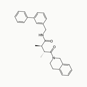 C[C@@H](C(=O)NCc1cccc(-c2ccccc2)c1)[C@@H](C)C(=O)N1CCc2ccccc2C1